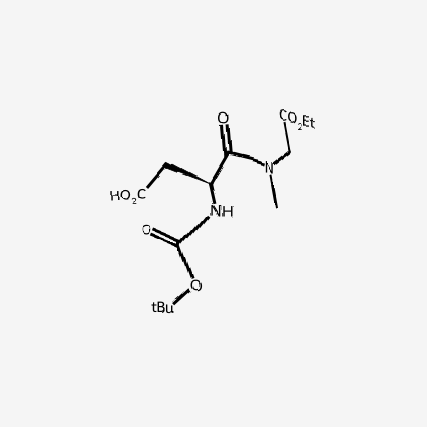 CCOC(=O)CN(C)C(=O)[C@H](CC(=O)O)NC(=O)OC(C)(C)C